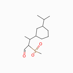 CC(C)C1CCCC(C(C)C(C=O)S(C)(=O)=O)C1